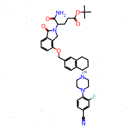 CC(C)(C)OC(=O)CCC(C(N)=O)N1Cc2c(OCc3ccc4c(c3)CCC[C@@H]4N3CCN(c4ccc(C#N)cc4F)CC3)cccc2C1=O